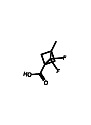 CC12CC(C(=O)O)(C1)C2(F)F